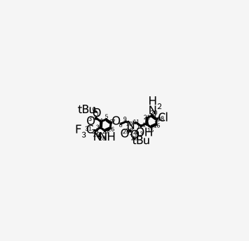 CC(C)(C)OC(=O)c1cc(OCCN(C[C@H](O)c2ccc(Cl)c(N)c2)C(=O)OC(C)(C)C)cc2[nH]nc(C(F)(F)F)c12